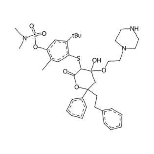 Cc1cc(SC2C(=O)OC(CCc3ccccc3)(c3ccccc3)CC2(O)OCCN2CCNCC2)c(C(C)(C)C)cc1OS(=O)(=O)N(C)C